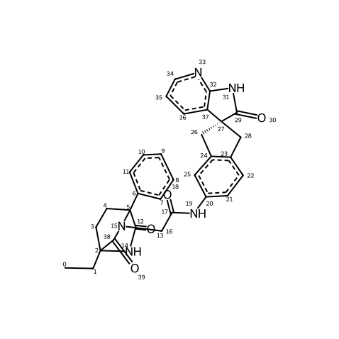 CCC12CCC(c3ccccc3)(C(=O)N1)N(CC(=O)Nc1ccc3c(c1)C[C@@]1(C3)C(=O)Nc3ncccc31)C2=O